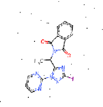 CC(c1nc(I)nn1-c1ncccn1)N1C(=O)c2ccccc2C1=O